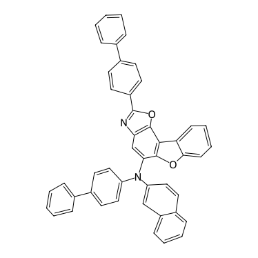 c1ccc(-c2ccc(-c3nc4cc(N(c5ccc(-c6ccccc6)cc5)c5ccc6ccccc6c5)c5oc6ccccc6c5c4o3)cc2)cc1